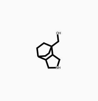 OCC12CCC(CC1)C1CNCC12